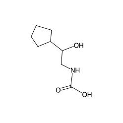 O=C(O)NCC(O)C1CCCC1